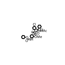 COc1cc(NC(=O)Oc2ccccc2)ccc1S(=O)(=O)N1C(=O)C(NC(C)=O)(c2ccccc2Cl)c2cc(Cl)ccc21